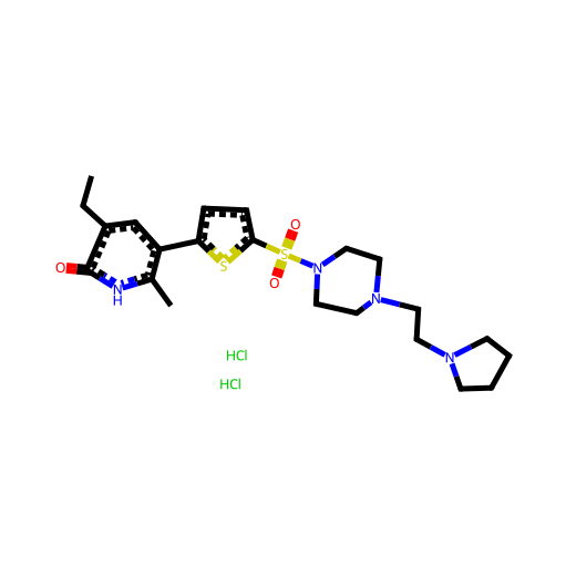 CCc1cc(-c2ccc(S(=O)(=O)N3CCN(CCN4CCCC4)CC3)s2)c(C)[nH]c1=O.Cl.Cl